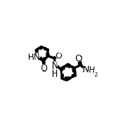 NC(=O)c1cccc(NC(=O)c2ccc[nH]c2=O)c1